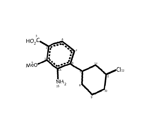 COc1c(C(=O)O)ccc(C2CCCC(Cl)C2)c1N